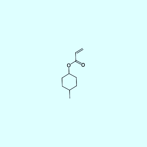 C=CC(=O)OC1CCC(C)CC1